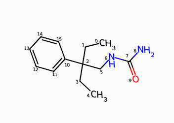 CCC(CC)(CNC(N)=O)c1ccccc1